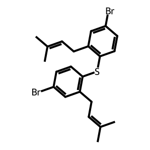 CC(C)=CCc1cc(Br)ccc1Sc1ccc(Br)cc1CC=C(C)C